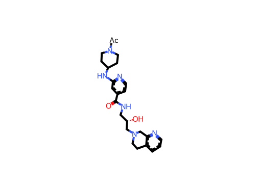 CC(=O)N1CCC(Nc2cc(C(=O)NC[C@H](O)CN3CCc4cccnc4C3)ccn2)CC1